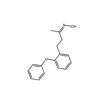 C/C(CCc1ccccc1Oc1ccccc1)=N/O